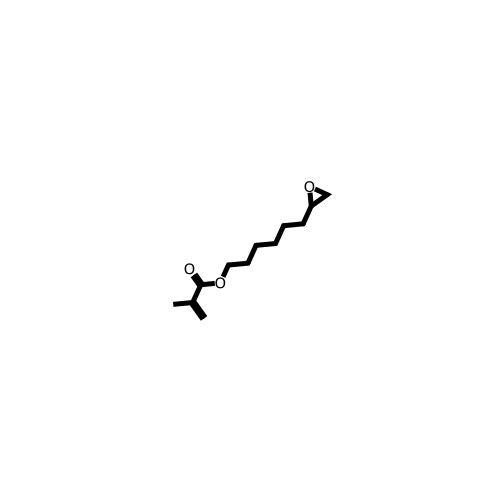 C=C(C)C(=O)OCCCCCCC1CO1